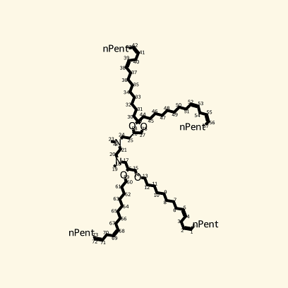 CCCCC/C=C\C/C=C\CCCCCCCCOCC(CN(C)CCN(C)CC[C@@H]1COC(CCCCCCCC/C=C\C/C=C\CCCCC)(CCCCCCCC/C=C\C/C=C\CCCCC)O1)OCCCCCCCC/C=C\C/C=C\CCCCC